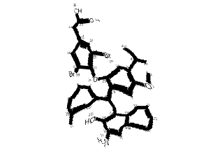 COc1cc(C(c2cccc(C)c2)c2c(O)c(N)cc3ccccc23)c(Oc2c(Br)cc(CC(=O)O)cc2Br)cc1C(C)C